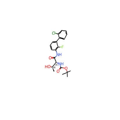 C[C@@H](O)[C@H](NC(=O)OC(C)(C)C)C(=O)Nc1cccc(-c2ccccc2Cl)c1F